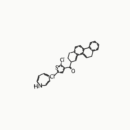 C1=CC=CNC=C1.O=C(c1cc(Cl)sc1Cl)C1C=c2c(ccc3c2=CCc2ccccc2-3)CC1